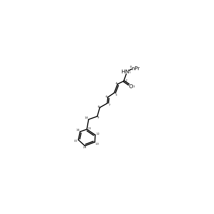 CCCNC(=O)/C=C/C=C/CCCc1ccccc1